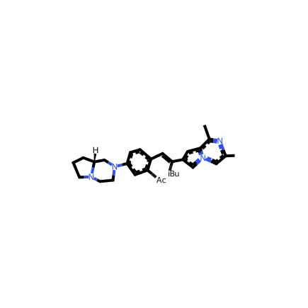 CCC(C)/C(=C\c1ccc(N2CCN3CCC[C@@H]3C2)cc1C(C)=O)c1cc2c(C)nc(C)cn2c1